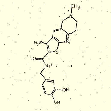 CN1CCc2nc3sc(C(=O)NCc4ccc(O)c(O)c4)c(N)c3cc2C1